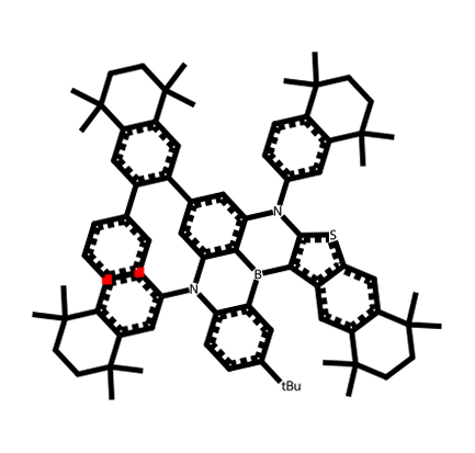 CC(C)(C)c1ccc2c(c1)B1c3c(cc(-c4cc5c(cc4-c4ccccc4)C(C)(C)CCC5(C)C)cc3N(c3ccc4c(c3)C(C)(C)CCC4(C)C)c3sc4cc5c(cc4c31)C(C)(C)CCC5(C)C)N2c1ccc2c(c1)C(C)(C)CCC2(C)C